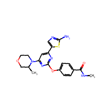 CNC(=O)c1ccc(Oc2nc(-c3cnc(N)s3)cc(N3CCOCC3C)n2)cc1